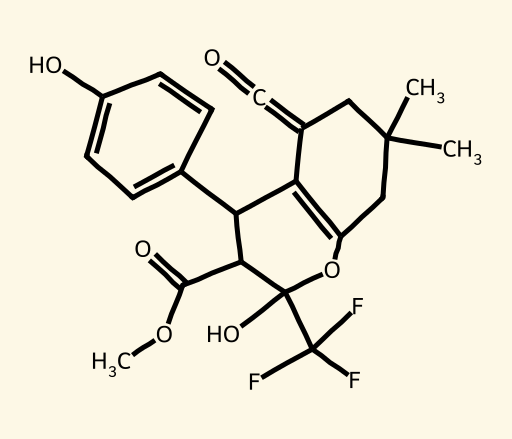 COC(=O)C1C(c2ccc(O)cc2)C2=C(CC(C)(C)CC2=C=O)OC1(O)C(F)(F)F